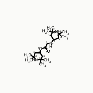 CC1(C)CC(NCC(=O)OC2CC(C)(C)NC(C)(C)C2)CC(C)(C)N1